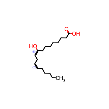 CCCCC/C=C\C/C=C(/O)CCCCCCCC(=O)O